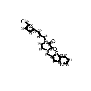 O=C1C(=O)N(Cc2cc3ncccc3s2)CCN1CC=Cc1ccc(Cl)s1